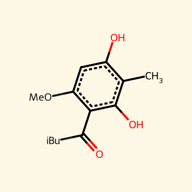 CCC(C)C(=O)c1c(OC)cc(O)c(C)c1O